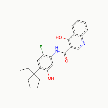 CCC(CC)(CC)c1cc(F)c(NC(=O)c2cnc3ccccc3c2O)cc1O